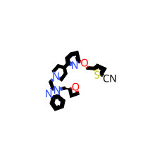 N#Cc1ccc(COc2cccc(C3CCN(Cc4nc5ccccc5n4C[C@@H]4CCO4)CC3)n2)s1